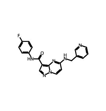 O=C(Nc1ccc(F)cc1)c1cnn2ccc(NCc3cccnc3)nc12